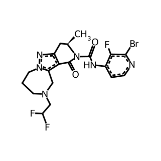 C[C@@H]1Cc2nn3c(c2C(=O)N1C(=O)Nc1ccnc(Br)c1F)CN(CC(F)F)CCC3